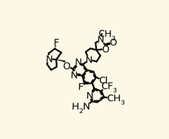 Cc1cc(N)nc(-c2c(Cl)cc3c(N4CCC5(CC4)CN(C)C(=O)O5)nc(OC[C@@]45CCCN4C[C@H](F)C5)nc3c2F)c1C(F)(F)F